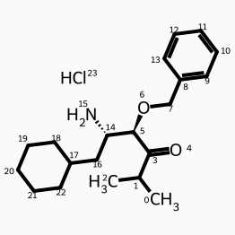 CC(C)C(=O)[C@H](OCc1ccccc1)[C@@H](N)CC1CCCCC1.Cl